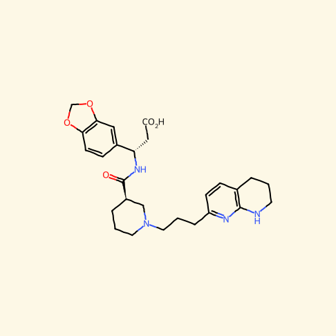 O=C(O)C[C@H](NC(=O)[C@@H]1CCCN(CCCc2ccc3c(n2)NCCC3)C1)c1ccc2c(c1)OCO2